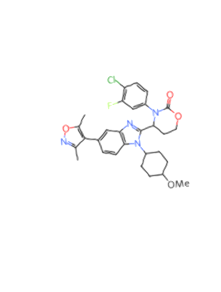 COC1CCC(n2c(C3CCOC(=O)N3c3ccc(Cl)c(F)c3)nc3cc(-c4c(C)noc4C)ccc32)CC1